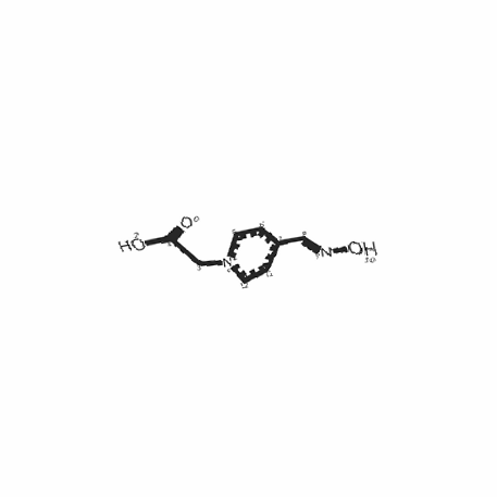 O=C(O)C[n+]1ccc(/C=N/O)cc1